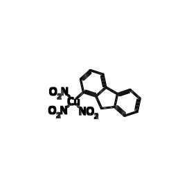 O=[N+]([O-])[Cu]([c]1cccc2c1Cc1ccccc1-2)([N+](=O)[O-])[N+](=O)[O-]